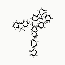 CC1(C)c2ccccc2-c2ccc(N(c3ccc4c(c3)C3(c5ccccc5-c5ccccc53)c3ccccc3-4)c3ccc4nc(-c5ccc(-c6ccccc6)cc5)sc4c3)cc21